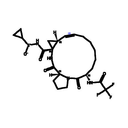 O=C1N[C@]2(C(=O)N[S+]([O-])C3CC3)C[C@H]2/C=C\CCCCC[C@H](NC(=O)C(F)(F)F)C(=O)N2CCC[C@@H]12